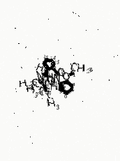 CCOc1ccccc1NC(=O)c1ccccc1C(=O)NC(C)C(C)(C)C